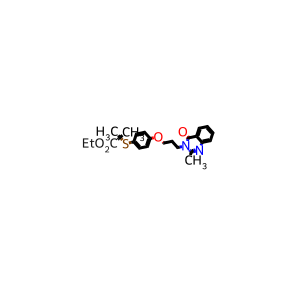 CCOC(=O)C(C)(C)Sc1ccc(OCCCn2c(C)nc3ccccc3c2=O)cc1